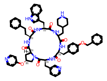 O=C1N[C@@H](Cc2ccc(OCc3ccccc3)cc2)C(=O)N[C@@H](Cc2cccnc2)C(=O)N2C[C@H](Oc3ccncc3)C[C@H]2C(=O)N[C@@H](CCc2ccccc2)C(=O)N[C@@H](Cc2c[nH]c3ccccc23)C(=O)NC1CC1CCNCC1